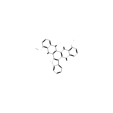 COc1cccc2c(=O)c3c(c(=O)c12)c1[nH]c2ccccc2c1c1c(=O)c2cccc(OC)c2c(=O)c31